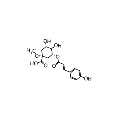 CO[C@@]1(C(=O)O)C[C@H](O)[C@@H](O)[C@H](OC(=O)C=Cc2ccc(O)cc2)C1